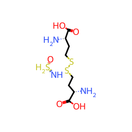 N=[SH2]=O.N[C@@H](CCSSCC[C@H](N)C(=O)O)C(=O)O